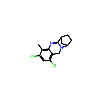 Cc1c(Cl)cc(Cl)c2c1N=C1C3CCC(C3)N1C2